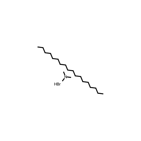 Br.CCCCCCCCCCCCCCCCCC.CN(C)C